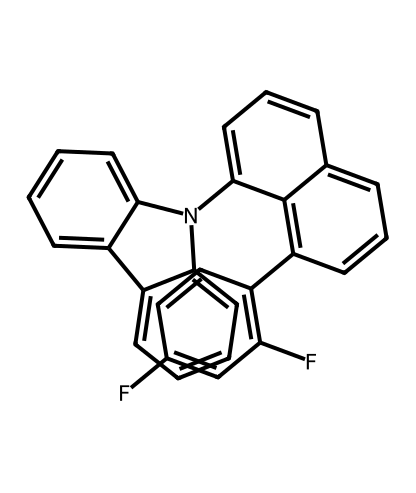 Fc1ccc(-c2cccc3cccc(-n4c5ccccc5c5ccccc54)c23)c(F)c1